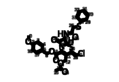 COc1ccc(COC(=O)C2=C(COC(C)=O)C(=CCl)S[C@H]3C(NC(=O)CSc4ccccc4)C(=O)N23)cc1